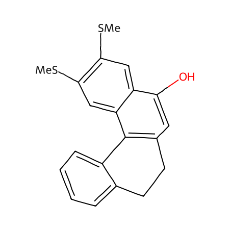 CSc1cc2c(O)cc3c(c2cc1SC)-c1ccccc1CC3